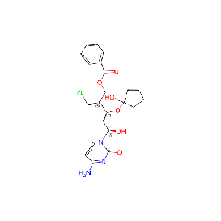 Nc1ccn([C@H](O)C[C@H](OC2(O)CCCC2)[C@@H](CCl)COC(=O)c2ccccc2)c(=O)n1